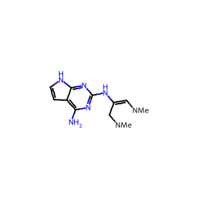 CN/C=C(\CNC)Nc1nc(N)c2cc[nH]c2n1